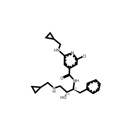 O=C(N[C@@H](Cc1ccccc1)[C@H](O)CNCC1CC1)c1cc(Cl)nc(NCC2CC2)c1